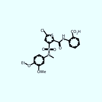 CCOc1ccc(N(C)S(=O)(=O)c2cc(Cl)sc2C(=O)Nc2ccccc2C(=O)O)cc1OC